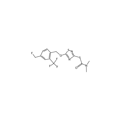 CN(C)C(=O)Sc1nsc(OCc2ccc(CF)cc2C(F)(F)F)n1